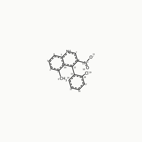 Cc1cccc2ncc([N+](=O)[O-])c(-c3ccccc3Cl)c12